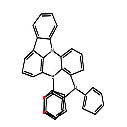 c1ccc(B2c3c(N(c4ccccc4)c4ccccc4)cccc3-n3c4ccccc4c4cccc2c43)cc1